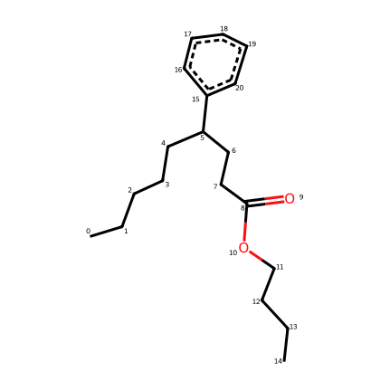 CCCCCC(CCC(=O)OCCCC)c1ccccc1